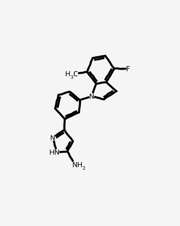 Cc1ccc(F)c2ccn(-c3cccc(-c4cc(N)[nH]n4)c3)c12